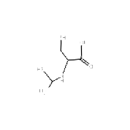 CC(S)NC(CS)C(=O)O